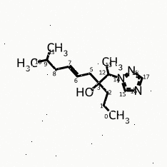 CCCC(O)(CC=CCC(C)C)C(C)n1cncn1